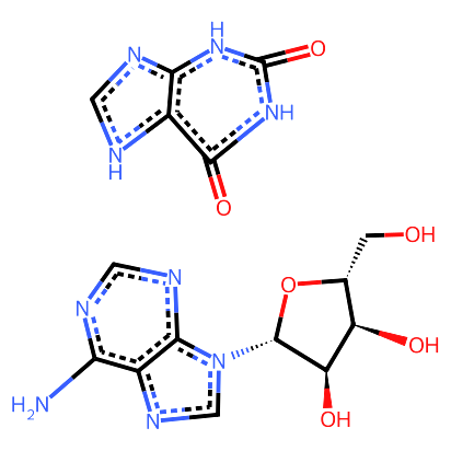 Nc1ncnc2c1ncn2[C@@H]1O[C@H](CO)[C@@H](O)[C@H]1O.O=c1[nH]c(=O)c2[nH]cnc2[nH]1